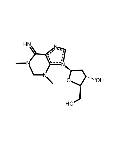 CN1CN(C)c2c(ncn2[C@H]2C[C@H](O)[C@@H](CO)O2)C1=N